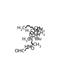 C=C/C=C\C=C\C(C)(C)C(C(=O)NC(C(=O)N(C)C/C=C(\C)C(=O)NCCCC=O)C(C)(C)C)N(C)C